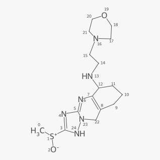 C[S+]([O-])C1=NC2=NC3=C(CCCC3NCCN3CCOCC3)CN2N1